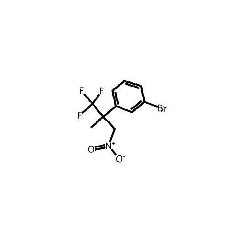 CC(C[N+](=O)[O-])(c1cccc(Br)c1)C(F)(F)F